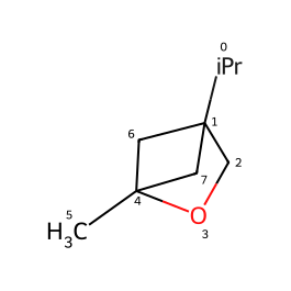 CC(C)C12COC(C)(C1)C2